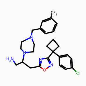 NCC(Cc1nc(C2(c3ccc(Cl)cc3)CCC2)no1)N1CCN(Cc2cccc(C(F)(F)F)c2)CC1